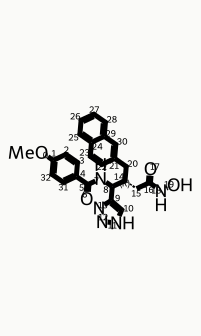 COc1ccc(C(=O)NC(c2c[nH]nn2)[C@@H](CC(=O)NO)Cc2ccc3ccccc3c2)cc1